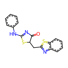 O=C1N=C(Nc2ccccc2)SC1Cc1nc2ccccc2s1